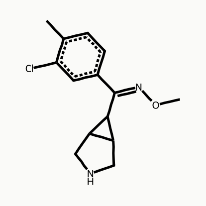 CON=C(c1ccc(C)c(Cl)c1)C1C2CNCC21